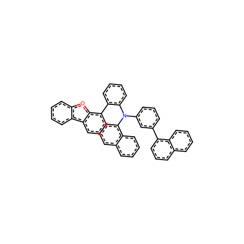 c1cc(-c2cccc3ccccc23)cc(N(c2ccccc2-c2cccc3c2oc2ccccc23)c2cccc3ccccc23)c1